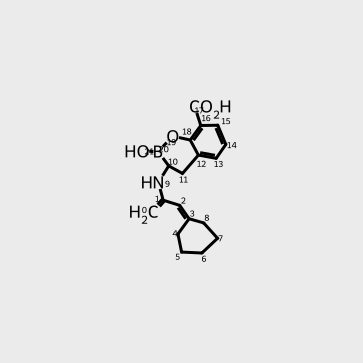 C=C(C=C1CCCCC1)NC1Cc2cccc(C(=O)O)c2OB1O